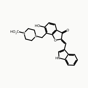 O=C1C(=Cc2c[nH]c3ccccc23)Oc2c1ccc(O)c2CN1CCN(C(=O)O)CC1